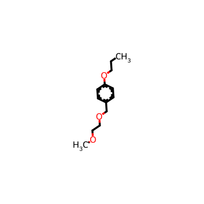 CCCOc1ccc(COCCOC)cc1